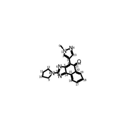 Cn1cc(C2=C3N=C(N4CCCC4)N=C3c3ccccc3C2=O)cn1